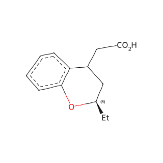 CC[C@@H]1CC(CC(=O)O)c2ccccc2O1